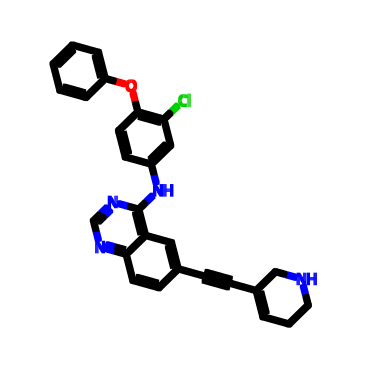 Clc1cc(Nc2ncnc3ccc(C#CC4=CCCNC4)cc23)ccc1Oc1ccccc1